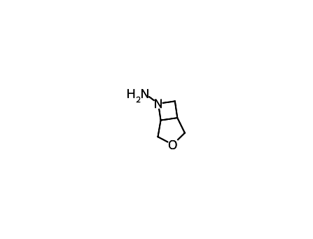 NN1CC2COCC21